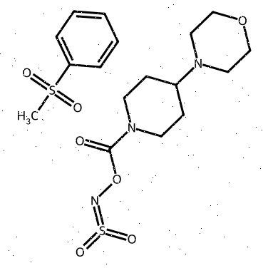 CS(=O)(=O)c1ccccc1.O=C(ON=S(=O)=O)N1CCC(N2CCOCC2)CC1